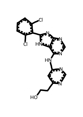 OCCc1cc(Nc2ncnc3nc(-c4c(Cl)cccc4Cl)[nH]c23)ncn1